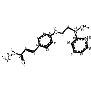 COC(=O)C=Cc1ccc(OCCN(C)c2ccccn2)cc1